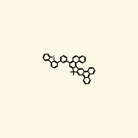 CC1(C)c2cc3c4ccccc4c4ccccc4c3cc2-c2c1cc(-c1cccc(-c3cccc4c3sc3ccccc34)c1)c1ccc3ccccc3c21